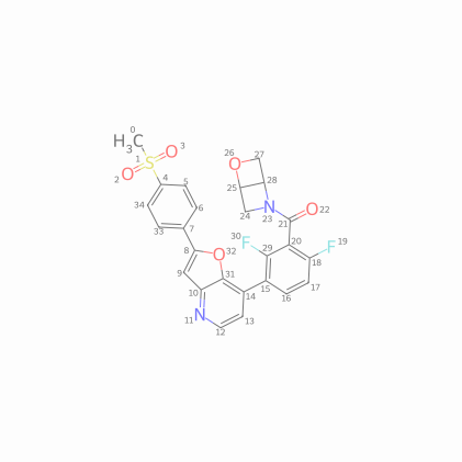 CS(=O)(=O)c1ccc(-c2cc3nccc(-c4ccc(F)c(C(=O)N5CC6OCC65)c4F)c3o2)cc1